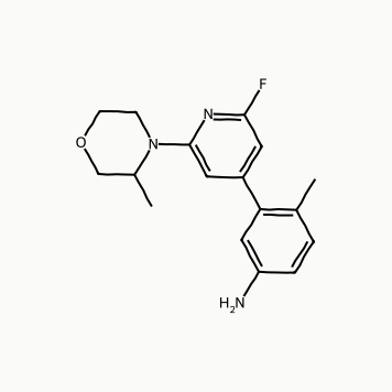 Cc1ccc(N)cc1-c1cc(F)nc(N2CCOCC2C)c1